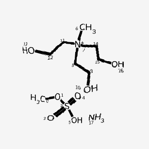 COS(=O)(=O)O.C[N+](CCO)(CCO)CCO.N